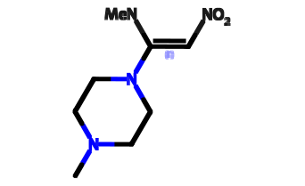 CN/C(=C\[N+](=O)[O-])N1CCN(C)CC1